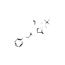 CC(C)(C)[Si](C)(C)N1C(=O)[C@@H](NC(=O)COc2ccccc2)[C@H]1CC=O